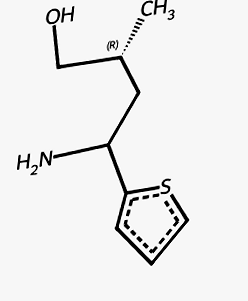 C[C@@H](CO)CC(N)c1cccs1